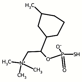 CC1CCCC(C(C[N+](C)(C)C)OP(=O)([O-])S)C1